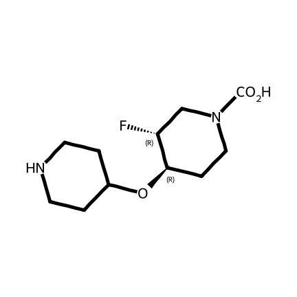 O=C(O)N1CC[C@@H](OC2CCNCC2)[C@H](F)C1